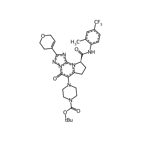 Cc1cc(C(F)(F)F)ccc1NC(=O)[C@H]1CCc2c(N3CCN(C(=O)OC(C)(C)C)CC3)c(=O)n3nc(C4=CCOCC4)nc3n21